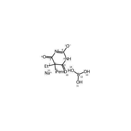 CCCC(C)C1(CC)C(=O)N=C([O-])NC1=O.OB(O)O.[Na+]